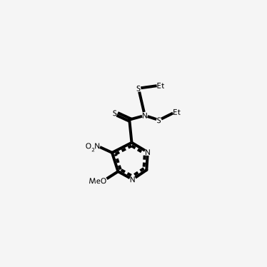 CCSN(SCC)C(=S)c1ncnc(OC)c1[N+](=O)[O-]